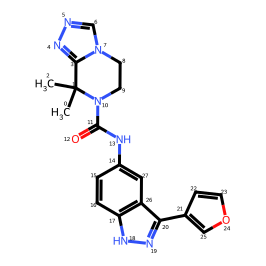 CC1(C)c2nncn2CCN1C(=O)Nc1ccc2[nH]nc(-c3ccoc3)c2c1